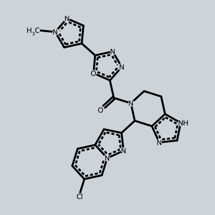 Cn1cc(-c2nnc(C(=O)N3CCc4[nH]cnc4C3c3cc4ccc(Cl)cn4n3)o2)cn1